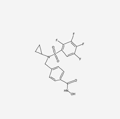 O=C(NO)c1ccc(CN(C2CC2)S(=O)(=O)c2cc(F)c(F)c(F)c2F)cc1